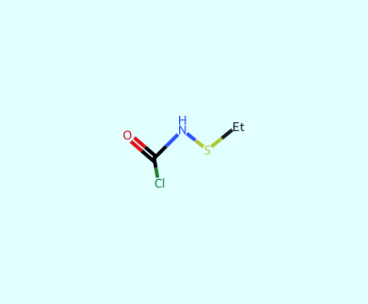 CCSNC(=O)Cl